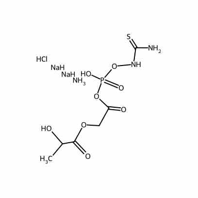 CC(O)C(=O)OCC(=O)OP(=O)(O)ONC(N)=S.Cl.N.[NaH].[NaH]